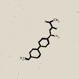 C=CC1CCC(C2CCC(C(C)CC(F)C(C)F)CC2)CC1